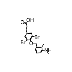 CNc1cccc(COc2c(Br)cc(CCC(=O)O)cc2Br)c1C